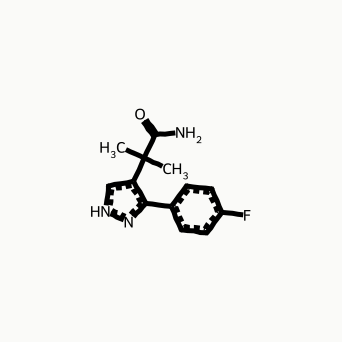 CC(C)(C(N)=O)c1c[nH]nc1-c1ccc(F)cc1